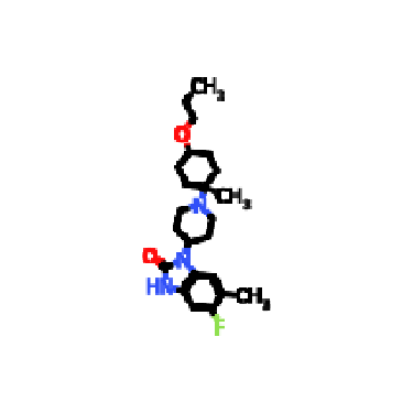 CCCO[C@H]1CC[C@@](C)(N2CCC(n3c(=O)[nH]c4cc(F)c(C)cc43)CC2)CC1